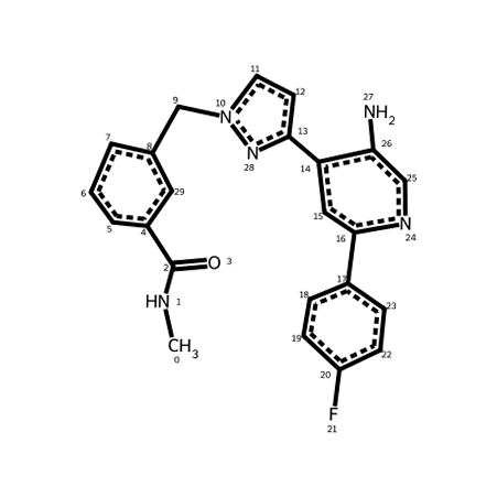 CNC(=O)c1cccc(Cn2ccc(-c3cc(-c4ccc(F)cc4)ncc3N)n2)c1